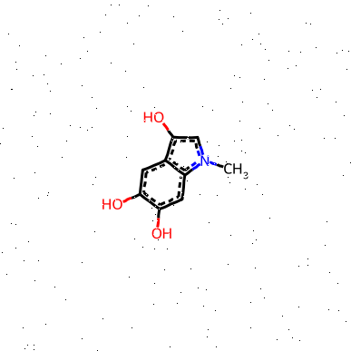 Cn1cc(O)c2cc(O)c(O)cc21